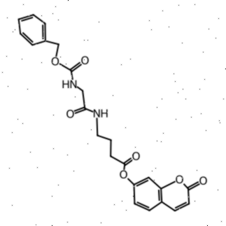 O=C(CNC(=O)OCc1ccccc1)NCCCC(=O)Oc1ccc2ccc(=O)oc2c1